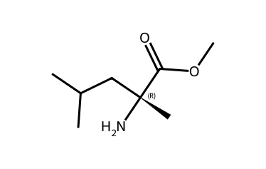 COC(=O)[C@](C)(N)CC(C)C